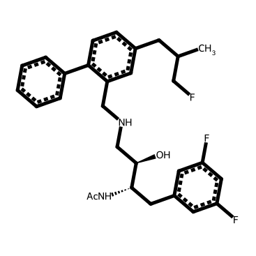 CC(=O)N[C@@H](Cc1cc(F)cc(F)c1)[C@H](O)CNCc1cc(CC(C)CF)ccc1-c1ccccc1